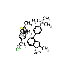 CC1=C2c3sc(C)cc3C1[Si]2(C)C.CC1=Cc2c(-c3ccc([Si](C)(C)C)cc3)cccc2[CH]1[Zr+2].[Cl-].[Cl-]